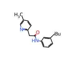 CCC(C)c1cccc(NC(=O)Cc2ccc(C)cn2)c1